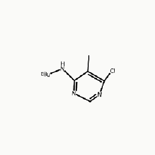 Cc1c(Cl)ncnc1NC(C)(C)C